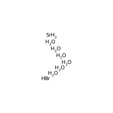 Br.O.O.O.O.O.O.[SrH2]